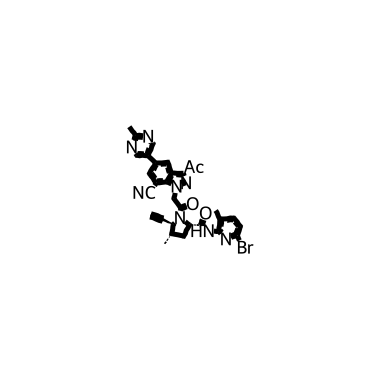 C#C[C@@H]1[C@@H](C)C[C@@H](C(=O)Nc2nc(Br)ccc2C)N1C(=O)Cn1nc(C(C)=O)c2cc(-c3cnc(C)nc3)cc(C#N)c21